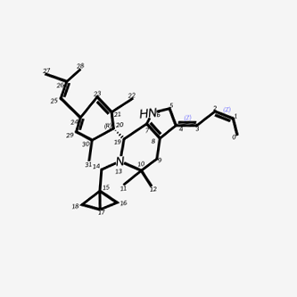 C/C=C\C=C1/CNC2=C1CC(C)(C)N(CC13CC1C3)C2[C@H]1C(C)=CC(C=C(C)C)=CC1C